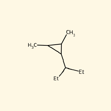 CCC(CC)C1C(C)C1C